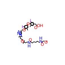 COCC(=O)NCCCCCC(=O)NCCC(C)(C)OCCC(C)(C)n1cc(COc2c(C)cc(Oc3c(C)cc(CC(=O)O)cc3I)cc2I)nn1